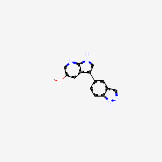 COc1cnc2[nH]cc(-c3ccc4[nH]ncc4c3)c2c1